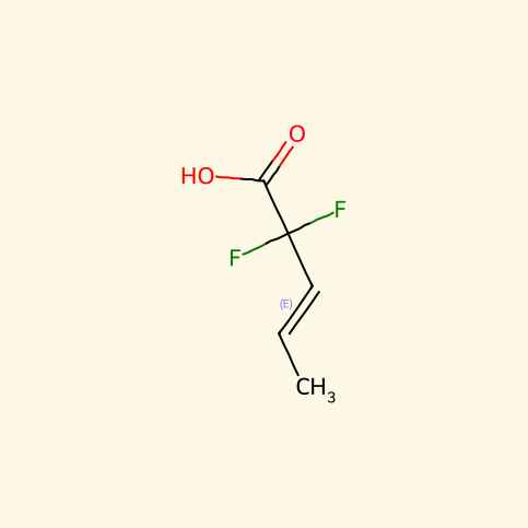 C/C=C/C(F)(F)C(=O)O